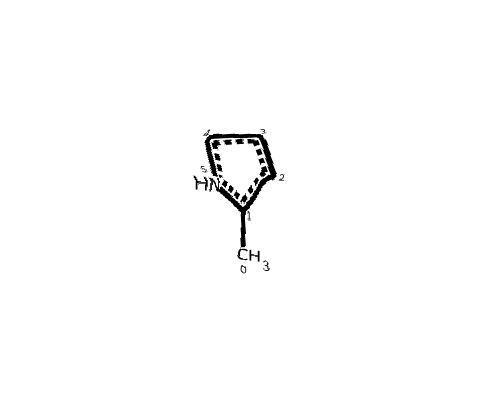 Cc1[c]cc[nH]1